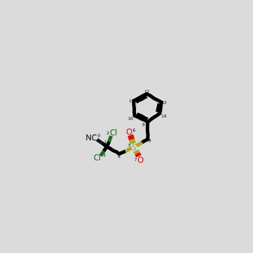 N#CC(Cl)(Cl)CS(=O)(=O)Cc1ccccc1